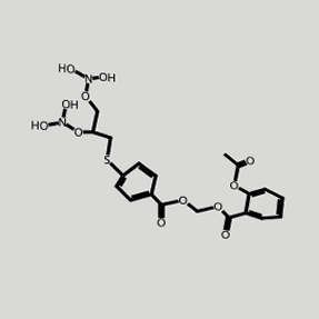 CC(=O)Oc1ccccc1C(=O)OCOC(=O)c1ccc(SCC(CON(O)O)ON(O)O)cc1